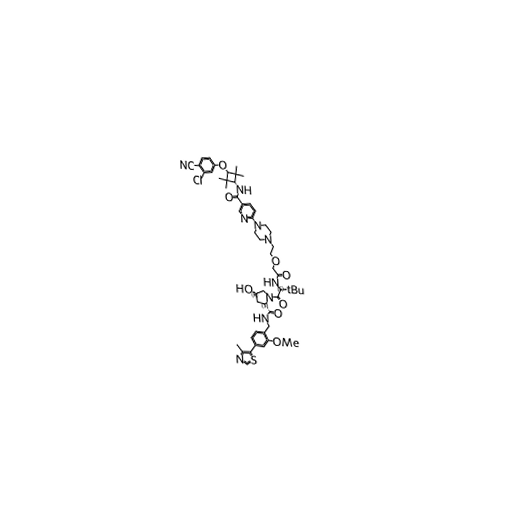 COc1cc(-c2scnc2C)ccc1CNC(=O)[C@@H]1C[C@@H](O)CN1C(=O)[C@@H](NC(=O)COCCN1CCN(c2ccc(C(=O)N[C@H]3C(C)(C)[C@H](Oc4ccc(C#N)c(Cl)c4)C3(C)C)cn2)CC1)C(C)(C)C